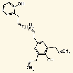 C=CCc1cc(CC=C)c(O)c(CC=C)c1.C=CCc1ccccc1O